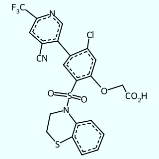 N#Cc1cc(C(F)(F)F)ncc1-c1cc(S(=O)(=O)N2CCSc3ccccc32)c(OCC(=O)O)cc1Cl